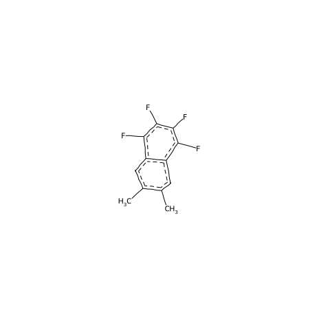 Cc1cc2c(F)c(F)c(F)c(F)c2cc1C